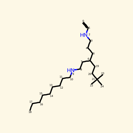 C=CNCCCC(CCNCCCCCCCCC)CCC(C)(C)C